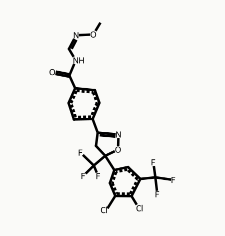 CO/N=C\NC(=O)c1ccc(C2=NOC(c3cc(Cl)c(Cl)c(C(F)(F)F)c3)(C(F)(F)F)C2)cc1